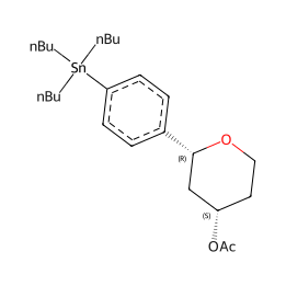 CCC[CH2][Sn]([CH2]CCC)([CH2]CCC)[c]1ccc([C@H]2C[C@@H](OC(C)=O)CCO2)cc1